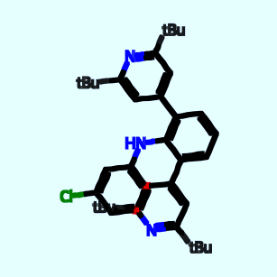 CC(C)(C)c1cc(-c2cccc(-c3cc(C(C)(C)C)nc(C(C)(C)C)c3)c2Nc2cccc(Cl)c2)cc(C(C)(C)C)n1